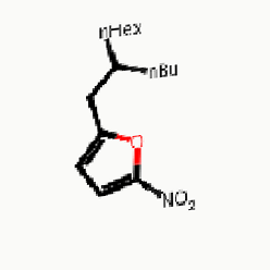 CCCCCCC(CCCC)Cc1ccc([N+](=O)[O-])o1